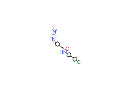 O=C(C#Cc1ccc(CN2CCC(N3CCCC3)CC2)cc1)Nc1ccc(-c2ccc(Cl)cc2)cc1